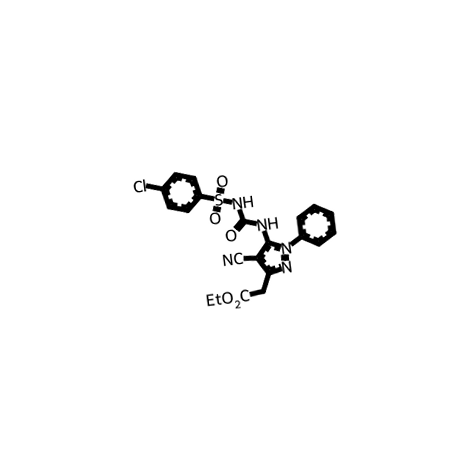 CCOC(=O)Cc1nn(-c2ccccc2)c(NC(=O)NS(=O)(=O)c2ccc(Cl)cc2)c1C#N